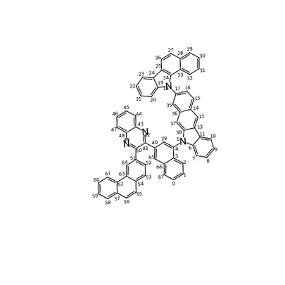 c1ccc2c(-n3c4ccccc4c4cc5ccc(-n6c7ccccc7c7ccc8ccccc8c76)cc5cc43)cc(-c3nc4ccccc4nc3-c3ccc4ccc5ccccc5c4c3)cc2c1